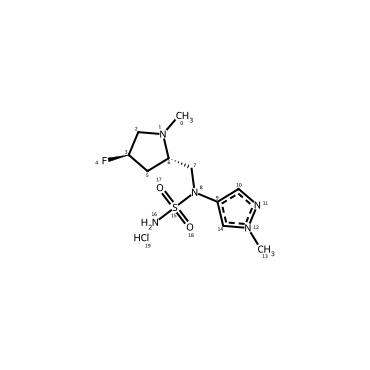 CN1C[C@H](F)C[C@H]1CN(c1cnn(C)c1)S(N)(=O)=O.Cl